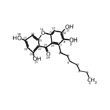 CCCCCCCc1c(O)c(O)cc2oc3cc(O)cc(O)c3c(=O)c12